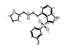 O=S(=O)(c1cccc(F)c1)c1c[nH]c2cccc(CCNCC3CCCO3)c12